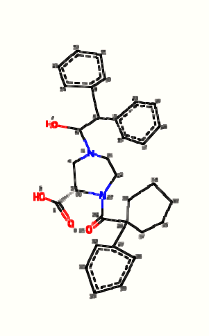 O=C(O)[C@@H]1CN(C(O)C(c2ccccc2)c2ccccc2)CCN1C(=O)C1(c2ccccc2)CCCCC1